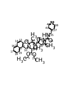 CCOC(OCC)[C@H](C)N(Cc1cccc2ccccc12)C(=O)[C@H](C)NC(=O)CN(C)NC(=O)NCc1ccncc1